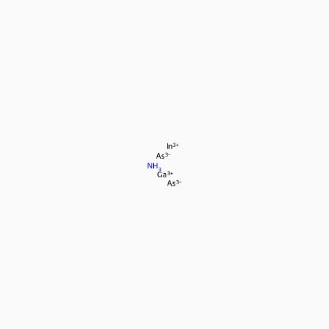 N.[As-3].[As-3].[Ga+3].[In+3]